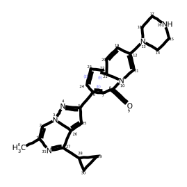 Cc1cn2nc(C3=C\C(=O)N4C=C(N5CCNCC5)C=C\C4=C/C=C/3)cc2c(C2CC2)n1